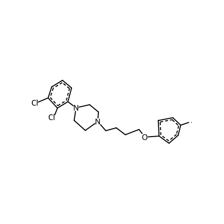 [CH2]c1ccc(OCCCCN2CCN(c3cccc(Cl)c3Cl)CC2)cc1